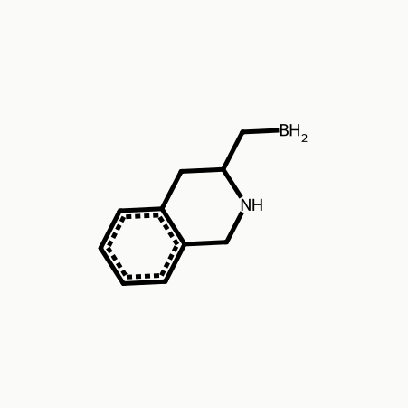 BCC1Cc2ccccc2CN1